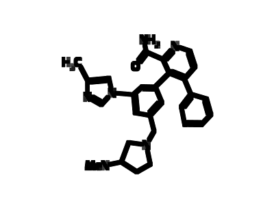 CNC1CCN(Cc2cc(-c3c(-c4ccccc4)ccnc3C(N)=O)cc(-n3cnc(C)c3)c2)C1